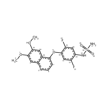 COc1cc2nccc(Oc3cc(F)c(NS(N)(=O)=O)cc3F)c2cc1OC